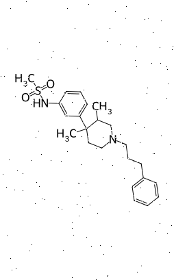 CC1CN(CCCc2ccccc2)CCC1(C)c1cccc(NS(C)(=O)=O)c1